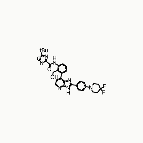 CC(C)(C)c1nc(C(=O)Nc2cccc(-c3ccnc4[nH]c(-c5ccc(N6CCC(F)(F)CC6)cc5)nc34)c2CO)no1